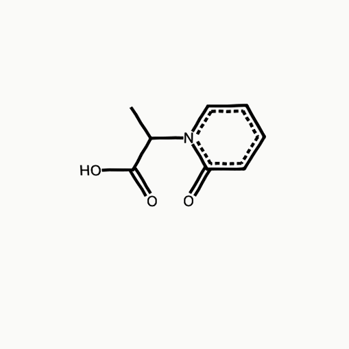 CC(C(=O)O)n1ccccc1=O